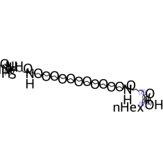 CCCCCC/C=C/[C@H]1[C@H](O)CC(=O)[C@@H]1C/C=C\CCCC(=O)NCCOCCOCCOCCOCCOCCOCCOCCOCCOCCOCCOCCNC(=O)CCCCC1SC[C@@H]2NC(=O)N[C@H]12